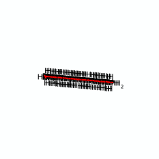 B[PH](B)(C)PPPPPPPPPPPPPPPPPPPPPPPPPPPPPPPPPPPPPPPPPPPPPPPPPPPPPPPPPPPPPPPPPPPPPPPPPPPPPPPPPPPPPP